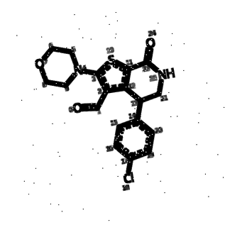 O=Cc1c(N2CCOCC2)sc2c1C(c1ccc(Cl)cc1)CNC2=O